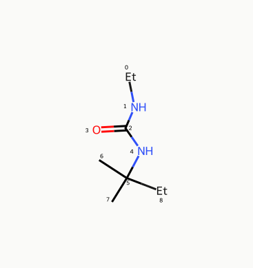 CCNC(=O)NC(C)(C)CC